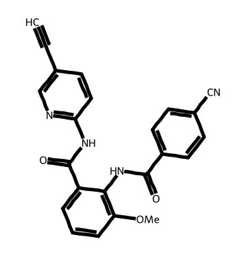 C#Cc1ccc(NC(=O)c2cccc(OC)c2NC(=O)c2ccc(C#N)cc2)nc1